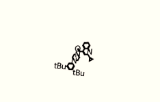 CC(C)(C)c1cc(N2CCN(C(=O)c3cc(C4CC4)nc4ccccc34)CC2)cc(C(C)(C)C)c1